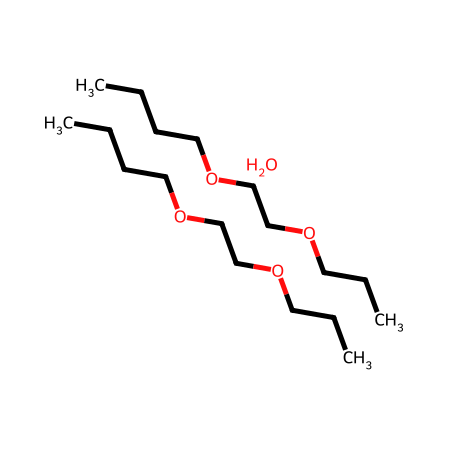 CCCCOCCOCCC.CCCCOCCOCCC.O